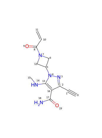 C#Cc1nn(C2CN(C(=O)C=C)C2)c(NC)c1C(N)=O